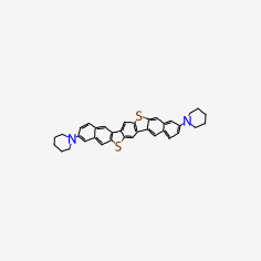 c1cc2cc3c(cc2cc1N1CCCCC1)sc1cc2c(cc13)sc1cc3cc(N4CCCCC4)ccc3cc12